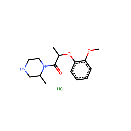 COc1ccccc1OC(C)C(=O)N1CCNCC1C.Cl